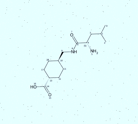 CC(C)C[C@H](N)C(=O)NC[C@H]1CC[C@H](C(=O)O)CC1